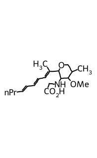 CCCC=CC=CC=C(C)C1OCC(C)C(OC)C1NCC(=O)O